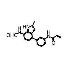 C=CC(=O)Nc1cccc(-c2ccc(NC=O)c3[nH]c(C)cc23)c1